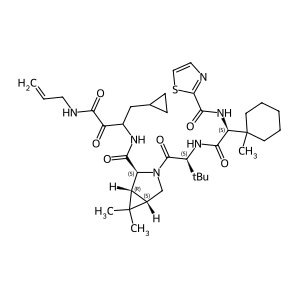 C=CCNC(=O)C(=O)C(CC1CC1)NC(=O)[C@@H]1[C@@H]2[C@H](CN1C(=O)[C@@H](NC(=O)[C@@H](NC(=O)c1nccs1)C1(C)CCCCC1)C(C)(C)C)C2(C)C